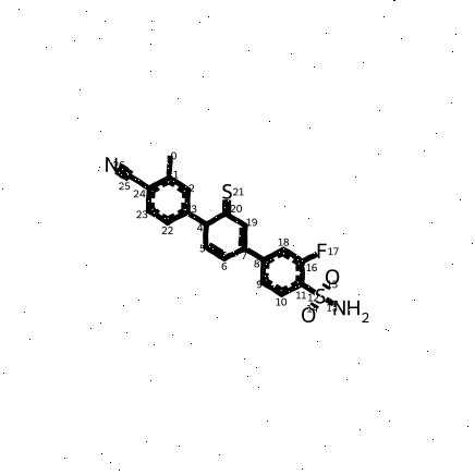 Cc1cc(C2C=CC(c3ccc(S(N)(=O)=O)c(F)c3)=CC2=S)ccc1C#N